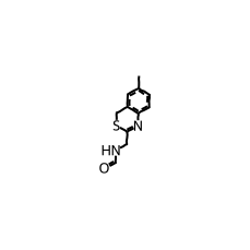 Cc1ccc2c(c1)CSC(CNC=O)=N2